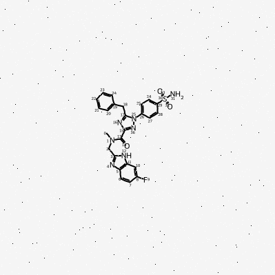 CN(Cc1nc2ccc(F)cc2[nH]1)C(=O)c1nc(Cc2ccccc2)n(-c2ccc(S(N)(=O)=O)cc2)n1